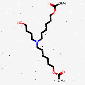 COC(=O)OCCCCCCN(CCCCO)CCCCCCOC(=O)OC